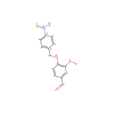 COc1cc(C=O)ccc1OCc1ccc([N+](=O)[O-])cc1